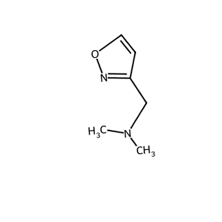 CN(C)Cc1ccon1